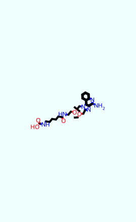 CCOCc1nc2c(N)nc3ccccc3c2n1CC(C)(C)OCCNC(=O)CCCCCNC(=O)O